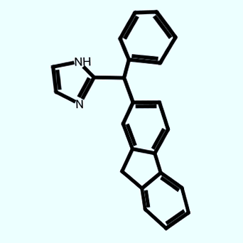 c1ccc(C(c2ccc3c(c2)Cc2ccccc2-3)c2ncc[nH]2)cc1